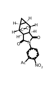 CC(=O)c1cc(N2C(=O)[C@@H]3[C@@H]4CC[C@@H]([C@H]5C[C@H]54)[C@@H]3C2=O)ccc1[N+](=O)[O-]